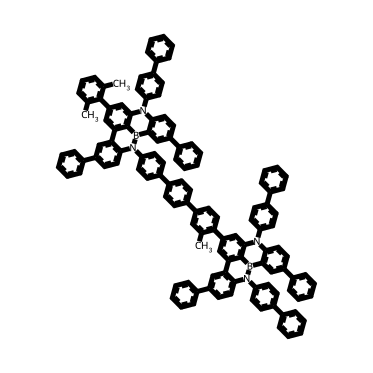 Cc1cc(-c2ccc(-c3ccc(N4B5c6cc(-c7ccccc7)ccc6N(c6ccc(-c7ccccc7)cc6)c6cc(-c7c(C)cccc7C)cc(c65)-c5cc(-c6ccccc6)ccc54)cc3)cc2)ccc1-c1cc2c3c(c1)N(c1ccc(-c4ccccc4)cc1)c1ccc(-c4ccccc4)cc1B3N(c1ccc(-c3ccccc3)cc1)c1ccc(-c3ccccc3)cc1-2